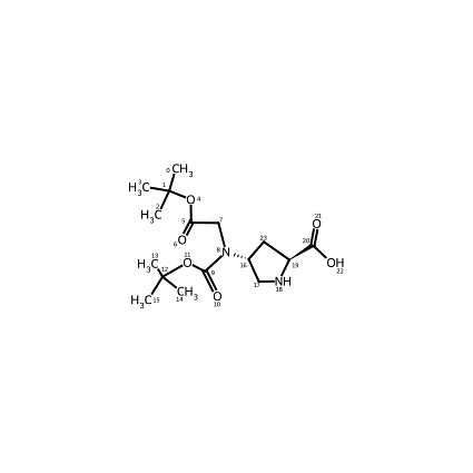 CC(C)(C)OC(=O)CN(C(=O)OC(C)(C)C)[C@H]1CN[C@H](C(=O)O)C1